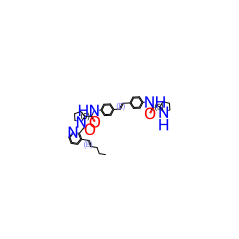 CCC/C=C/c1cccnc1C(=O)N1CCC[C@H]1C(=O)Nc1ccc(/C=C/c2ccc(NC(=O)[C@@H]3CCCN3)cc2)cc1